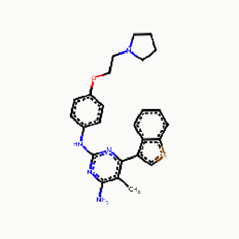 Cc1c(N)nc(Nc2ccc(OCCN3CCCC3)cc2)nc1-c1csc2ccccc12